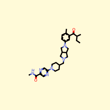 CCC(C)C(=O)c1cc(N2CC3CN(CC4CCN(c5cnc(C(=O)NC)cn5)CC4)CC3C2)ccc1C